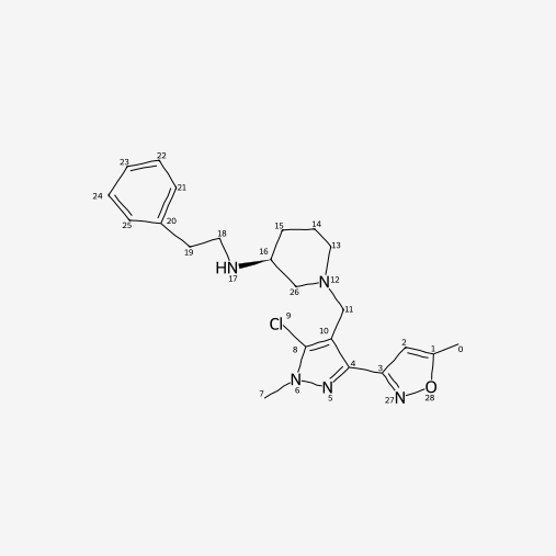 Cc1cc(-c2nn(C)c(Cl)c2CN2CCC[C@H](NCCc3ccccc3)C2)no1